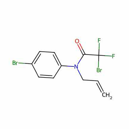 C=CCN(C(=O)C(F)(F)Br)c1ccc(Br)cc1